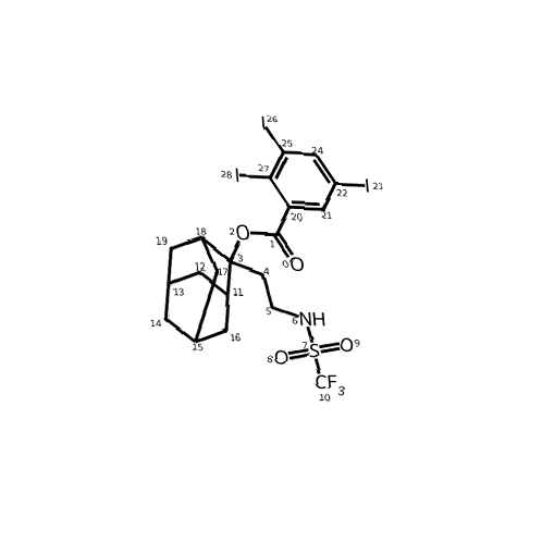 O=C(OC1(CCNS(=O)(=O)C(F)(F)F)C2CC3CC(C2)CC1C3)c1cc(I)cc(I)c1I